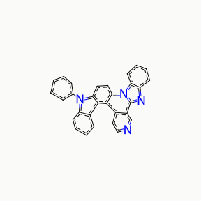 c1ccc(-n2c3ccccc3c3c4c5ccncc5c5nc6ccccc6n5c4ccc32)cc1